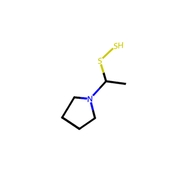 CC(SS)N1CCCC1